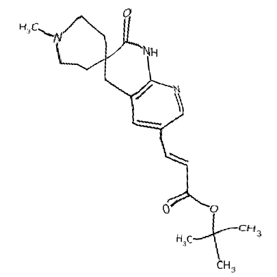 CN1CCC2(CC1)Cc1cc(/C=C/C(=O)OC(C)(C)C)cnc1NC2=O